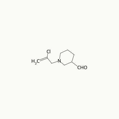 C=C(Cl)CN1CCCC(C=O)C1